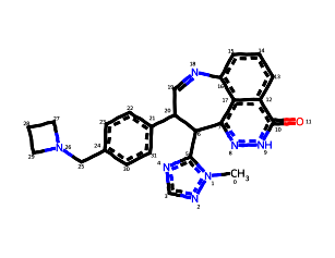 Cn1ncnc1C1c2n[nH]c(=O)c3cccc(c23)N=CC1c1ccc(CN2CCC2)cc1